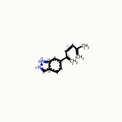 C=C(C)/C=C\C(=C)c1ccc2cn[nH]c2c1